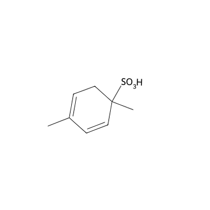 CC1=CCC(C)(S(=O)(=O)O)C=C1